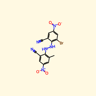 Cc1cc([N+](=O)[O-])cc(C#N)c1NNc1c(Br)cc([N+](=O)[O-])cc1C#N